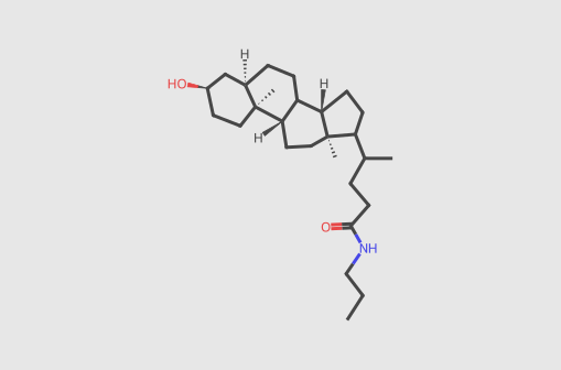 CCCNC(=O)CCC(C)C1CC[C@H]2C3CC[C@@H]4C[C@H](O)CC[C@]4(C)[C@H]3CC[C@]12C